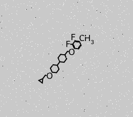 Cc1ccc(OCC2CCC(C3CCC(OCC4CC4)CC3)CC2)c(F)c1F